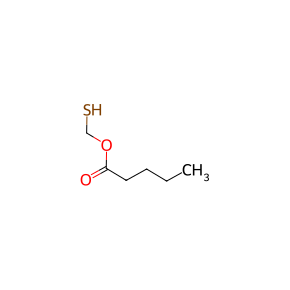 CCCCC(=O)OCS